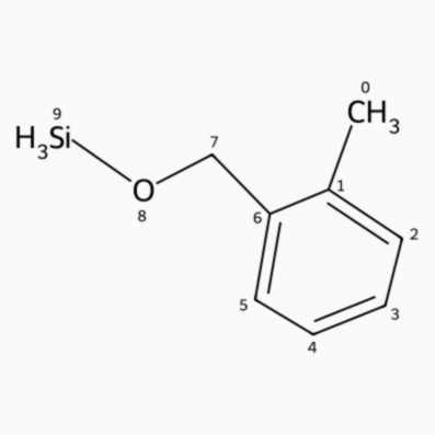 Cc1ccccc1CO[SiH3]